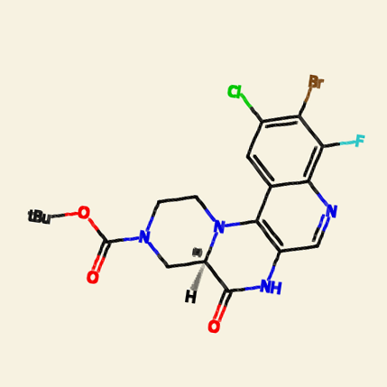 CC(C)(C)OC(=O)N1CCN2c3c(cnc4c(F)c(Br)c(Cl)cc34)NC(=O)[C@H]2C1